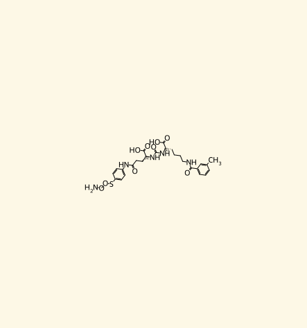 Cc1cccc(C(=O)NCCCC[C@H](NC(=O)N[C@@H](CCC(=O)Nc2ccc(SOON)cc2)C(=O)O)C(=O)O)c1